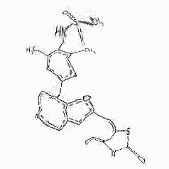 Cc1cc(-c2cncc3cc(C=C4SC(=O)NC4=O)oc23)cc(C)c1NS(C)(=O)=O